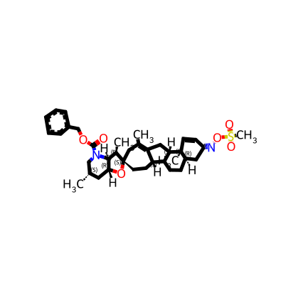 CC1=C2C[C@H]3C(CC[C@@H]4C/C(=N/OS(C)(=O)=O)C=C[C@@]43C)[C@@H]2CC[C@@]2(C1)O[C@@H]1C[C@H](C)CN(C(=O)OCc3ccccc3)[C@H]1[C@H]2C